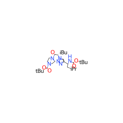 CCC(C)[C@@H](C(=O)N1CCN(C(=O)OC(C)(C)C)CC1)n1cc(C(CC(C)C)NC(=O)OC(C)(C)C)nn1